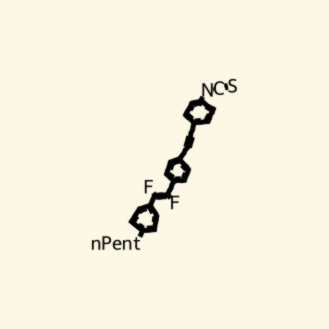 CCCCCc1ccc(C(F)=C(F)c2ccc(C#Cc3ccc(N=C=S)cc3)cc2)cc1